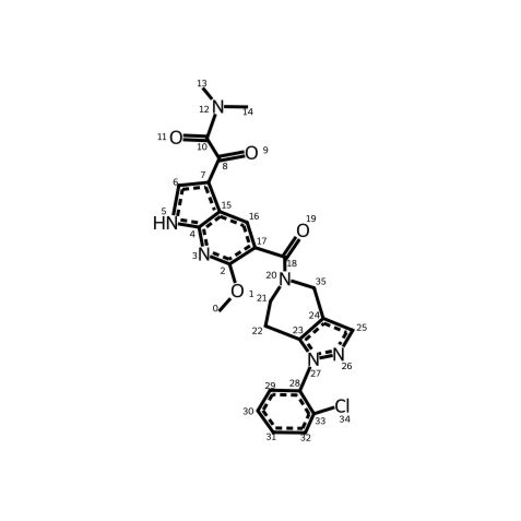 COc1nc2[nH]cc(C(=O)C(=O)N(C)C)c2cc1C(=O)N1CCc2c(cnn2-c2ccccc2Cl)C1